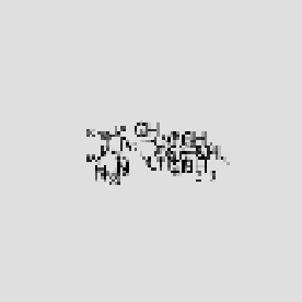 CCC(C)(CO[Si](C)(C)C(C)(C)C)n1cc(I)c2cncnc21